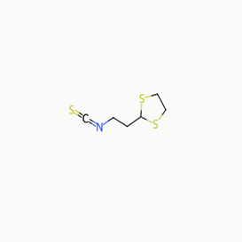 S=C=NCCC1SCCS1